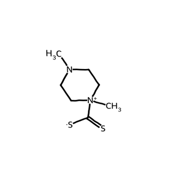 CN1CC[N+](C)(C([S])=S)CC1